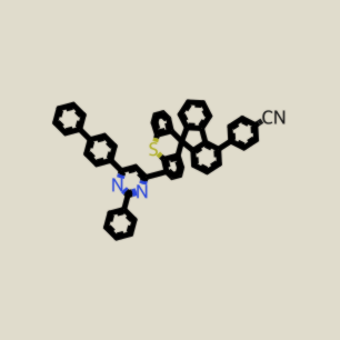 N#Cc1ccc(-c2cccc3c2-c2ccccc2C32c3ccccc3Sc3c(-c4cc(-c5ccc(-c6ccccc6)cc5)nc(-c5ccccc5)n4)cccc32)cc1